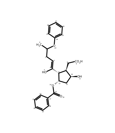 CC(CC=C(O)[C@@H]1[C@@H](CC(=O)O)[C@@H](O)C[C@@H]1OC(=O)c1ccccc1)Oc1ccccc1